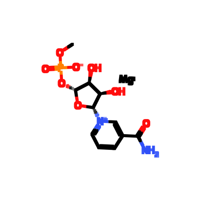 COP(=O)([O-])O[C@H]1O[C@@H]([n+]2cccc(C(N)=O)c2)[C@H](O)[C@@H]1O.[Mg]